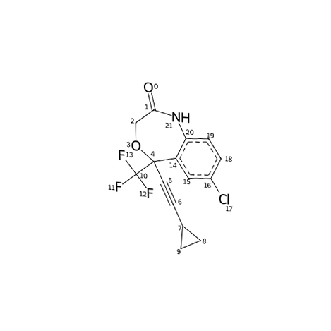 O=C1COC(C#CC2CC2)(C(F)(F)F)c2cc(Cl)ccc2N1